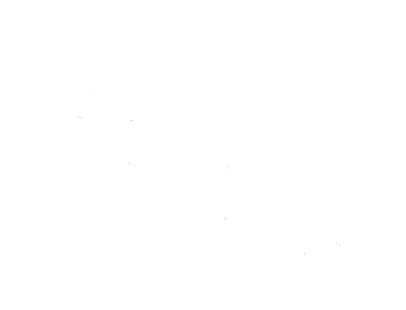 CC(C)(C)OC(=O)N1CCC[C@H]1c1nc2ccc(-c3cnc4cc(-c5c[nH]cn5)ccc4n3)cc2[nH]1